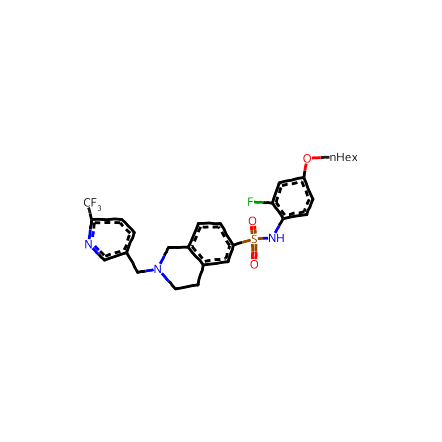 CCCCCCOc1ccc(NS(=O)(=O)c2ccc3c(c2)CCN(Cc2ccc(C(F)(F)F)nc2)C3)c(F)c1